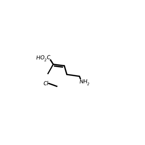 CC(=CCCN)C(=O)O.CCl